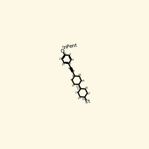 CCCCCOc1ccc(C#CC2CCC(C3CCC(CC)CC3)CC2)cc1